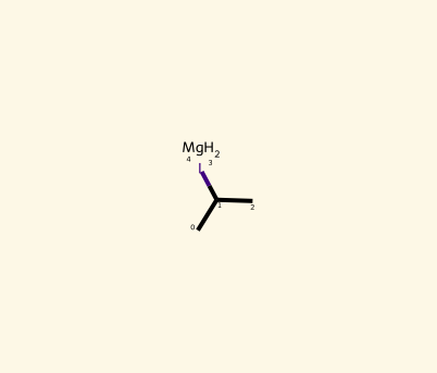 CC(C)I.[MgH2]